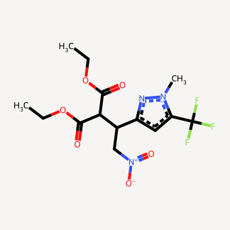 CCOC(=O)C(C(=O)OCC)C(C[N+](=O)[O-])c1cc(C(F)(F)F)n(C)n1